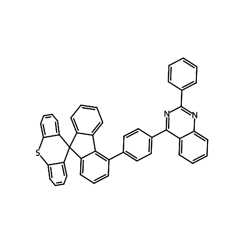 c1ccc(-c2nc(-c3ccc(-c4cccc5c4-c4ccccc4C54c5ccccc5Sc5ccccc54)cc3)c3ccccc3n2)cc1